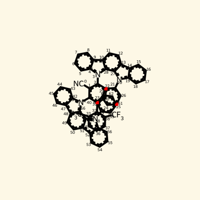 N#Cc1c(-n2c3ccccc3c3ccc4c5ccccc5n(-c5ccccc5)c4c32)ccc(-c2c(C(F)(F)F)cccc2C(F)(F)F)c1-n1c2ccccc2c2ccc3c4ccccc4n(-c4ccccc4)c3c21